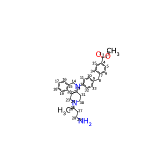 COC(=O)c1ccc(Cc2ccc(N(Cc3ccccc3)C3CCN(C(C)CCN)CC3)cc2)cc1